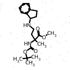 COC(=O)C(C)(CCNC1CCc2ccccc21)NC(=O)OC(C)(C)C